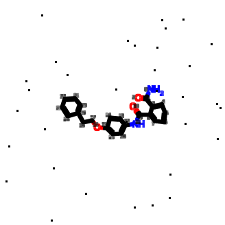 NC(=O)c1ccccc1C(=O)Nc1ccc(OCCc2ccccc2)cc1